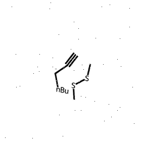 C#CCCCCC.CSSC